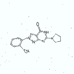 N#Cc1ccccc1-n1cc2c(=O)[nH]c(N3CCCC3)nc2n1